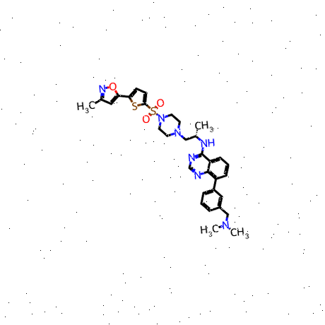 Cc1cc(-c2ccc(S(=O)(=O)N3CCN(C[C@H](C)Nc4ncnc5c(-c6cccc(CN(C)C)c6)cccc45)CC3)s2)on1